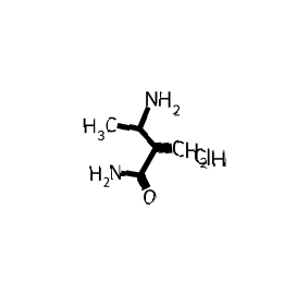 C=C(C(N)=O)C(C)N.Cl